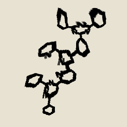 c1ccc(-c2cc(-c3cccc(-c4cc(-c5cccc(-c6nc(-c7ccccc7)nc(-c7ccccc7)n6)c5)cc(-c5ccccn5)n4)n3)nc(-c3ccccc3)n2)cc1